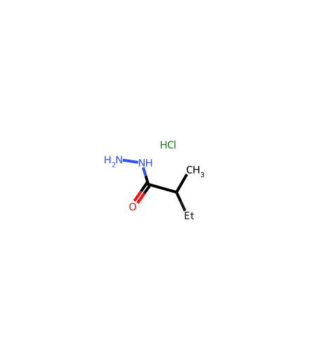 CCC(C)C(=O)NN.Cl